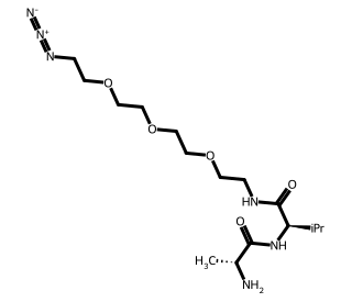 CC(C)[C@@H](NC(=O)[C@@H](C)N)C(=O)NCCOCCOCCOCCN=[N+]=[N-]